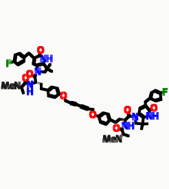 CN[C@@H](C)C(=O)N[C@@H](CCc1ccc(OCC#CC#CCOc2ccc(CC[C@H](NC(=O)[C@H](C)NC)C(=O)N3CC(C)(C)c4[nH]c(=O)c(Cc5ccc(F)cc5)cc43)cc2)cc1)C(=O)N1CC(C)(C)c2[nH]c(=O)c(Cc3ccc(F)cc3)cc21